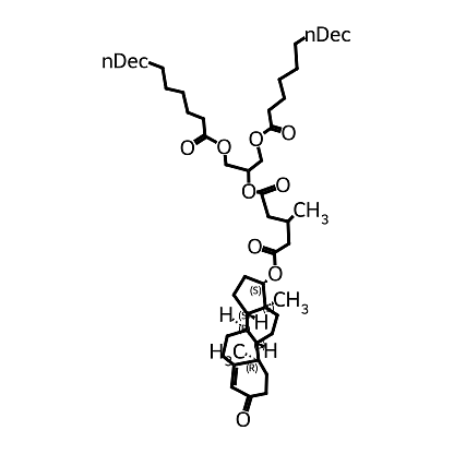 CCCCCCCCCCCCCCCC(=O)OCC(COC(=O)CCCCCCCCCCCCCCC)OC(=O)CC(C)CC(=O)O[C@H]1CC[C@H]2[C@@H]3CCC4=CC(=O)CC[C@]4(C)[C@H]3CC[C@]12C